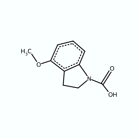 COc1cccc2c1CCN2C(=O)O